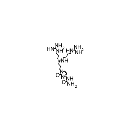 N=C(N)NCCCCN[C@@H](CCCNC(=N)N)CCCn1ccc(NC(N)=O)nc1=O